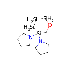 C1CCN([Si]2(N3CCCC3)CO[SiH2][SiH2][SiH2]2)C1